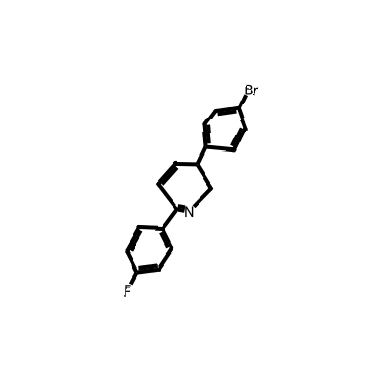 Fc1ccc(C2=NCC(c3ccc(Br)cc3)C=C2)cc1